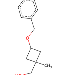 CC1(CO)CC(OCc2ccccc2)C1